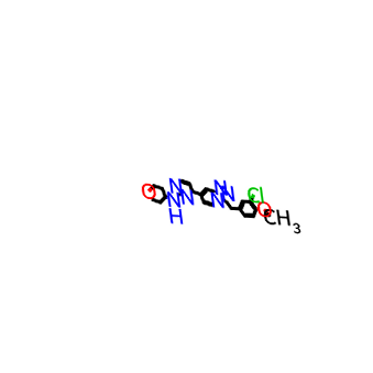 COc1ccc(Cc2nnc3cc(-c4ccnc(NC5CCOCC5)n4)ccn23)cc1Cl